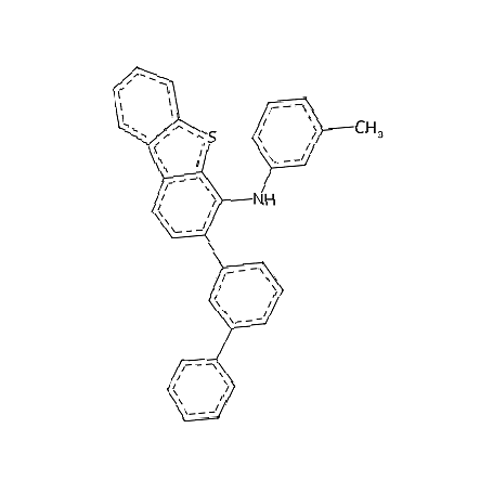 Cc1cccc(Nc2c(-c3cccc(-c4ccccc4)c3)ccc3c2sc2ccccc23)c1